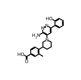 Cc1cc(C(=O)O)ccc1C1CCCN(c2cc(-c3ccccc3O)nnc2N)C1